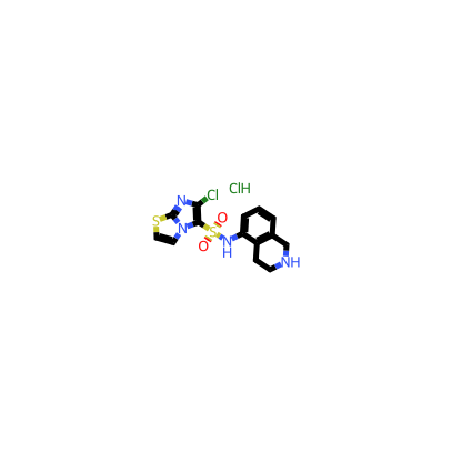 Cl.O=S(=O)(Nc1cccc2c1CCNC2)c1c(Cl)nc2sccn12